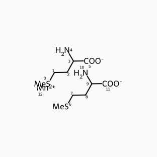 CSCCC(N)C(=O)[O-].CSCCC(N)C(=O)[O-].[Mn+2]